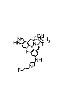 C[C@@H]1Cc2c(ccc3[nH]ncc23)[C@@H](c2c(F)cc(NC3CN(CCCF)C3)cc2F)N1CC(C)(F)CO